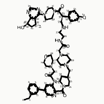 CCc1cccc(-c2cnc(C(=O)N3CCC(CN4CCN(CC(=O)NCCNC[C@@H](C(=O)N5CCN(c6ncnc7c6[C@H](C)C[C@H]7O)CC5)c5ccc(Cl)cc5)CC4)CC3)c(NC(=O)CN3CCOCC3)c2)c1